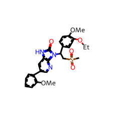 CCOc1cc(C(CS(C)(=O)=O)n2c(=O)[nH]c3cc(-c4ccccc4OC)cnc32)ccc1OC